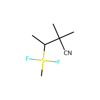 CC(C(C)(C)C#N)S(C)(F)F